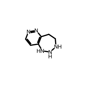 c1cc2c(nn1)CCNNN2